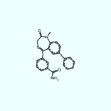 CN1C(=O)CN=C(c2cccc(C(N)=O)c2)c2cc(-c3ccccc3)ccc21